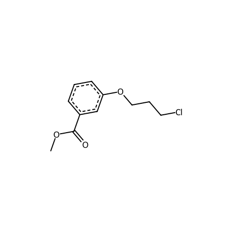 COC(=O)c1cccc(OCCCCl)c1